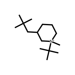 CC(C)(C)CC1CCC[N+](C)(C(C)(C)C)C1